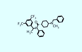 CC(c1cc(C(F)(F)F)cc(C(F)(F)F)c1)N(c1ccccc1)C(=O)[C@H]1CC[C@H](N(C)Cc2ccccc2)CC1